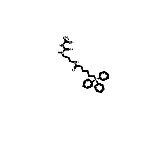 CN(CCCNC(=O)CCCCC[P+](c1ccccc1)(c1ccccc1)c1ccccc1)C(=N)NC(=N)N